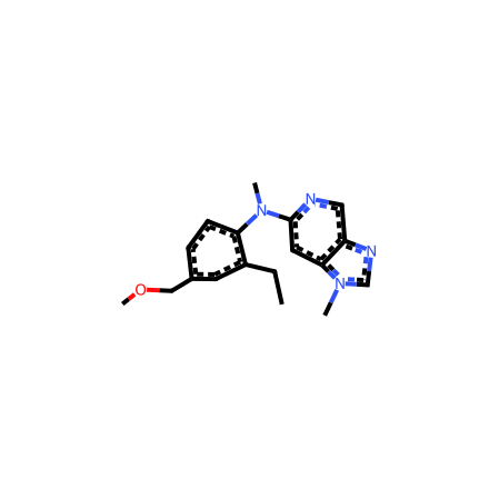 CCc1cc(COC)ccc1N(C)c1cc2c(cn1)ncn2C